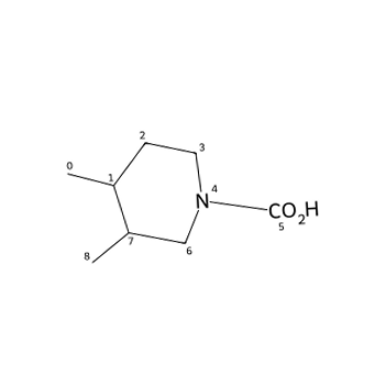 CC1CCN(C(=O)O)CC1C